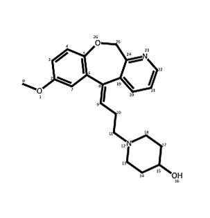 COc1ccc2c(c1)/C(=C/CCN1CCC(O)CC1)c1cccnc1CO2